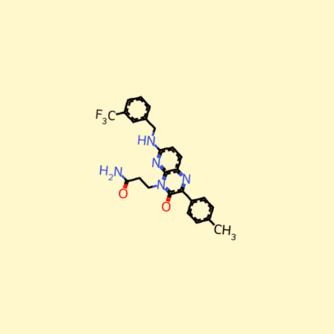 Cc1ccc(-c2nc3ccc(NCc4cccc(C(F)(F)F)c4)nc3n(CCC(N)=O)c2=O)cc1